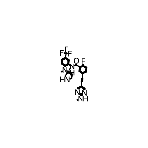 CNc1ncc(C#Cc2ccc(F)c(C(=O)Nc3cc(C(F)(F)F)ccc3N(C)[C@]3(C)CCNC3)c2)cn1